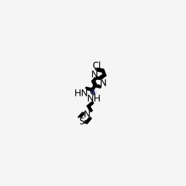 N=C/C(=C\NCCCN1CCSCC1)c1cnc2ccc(Cl)nc2c1